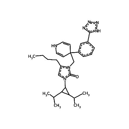 CCCCc1cn(C2C(C(C)C)C2C(C)C)c(=O)n1CC1(c2cccc(-c3nnn[nH]3)c2)C=CNC=C1